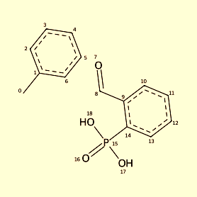 Cc1ccccc1.O=Cc1ccccc1P(=O)(O)O